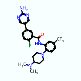 CN(C)C1CCN(c2ccc(C(F)(F)F)cc2NC(=O)c2cc(-c3cnc(N)nc3)ccc2F)CC1